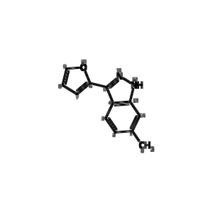 Cc1ccc2c(-c3ccco3)n[nH]c2c1